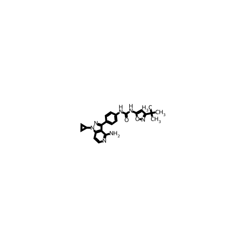 CC(C)(C)c1cc(NC(=O)Nc2ccc(-c3nn(C4CC4)c4ccnc(N)c34)cc2)on1